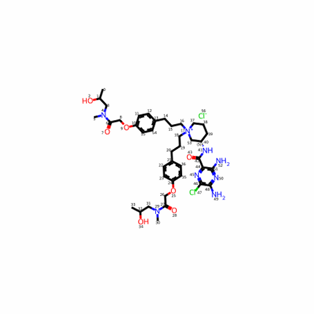 CC(O)CN(C)C(=O)COc1ccc(CCC[N+]2(CCCc3ccc(OCC(=O)N(C)CC(C)O)cc3)CCC[C@H](NC(=O)c3nc(Cl)c(N)nc3N)C2)cc1.[Cl-]